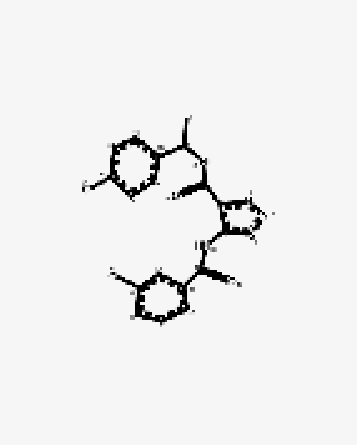 CC(NC(=O)c1nnsc1NC(=O)c1cccc(Cl)c1)c1ccc(Cl)cc1